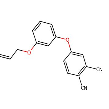 C=CCOc1cccc(Oc2ccc(C#N)c(C#N)c2)c1